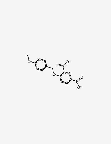 COc1ccc(COc2ccc([N+](=O)[O-])nc2[N+](=O)[O-])cc1